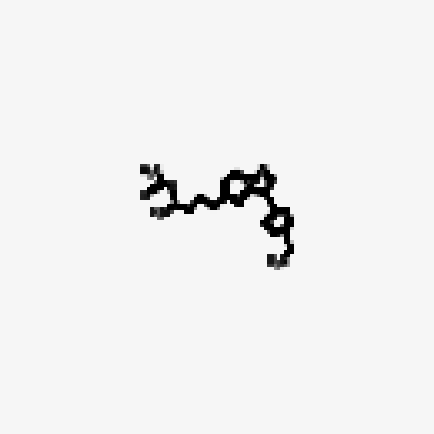 CC(=O)OC(N)CCCc1ccn2ncc(-c3ccc(CN)cc3)c2n1